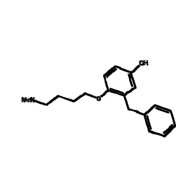 CNCCCCOc1ccc(O)cc1Cc1ccccc1